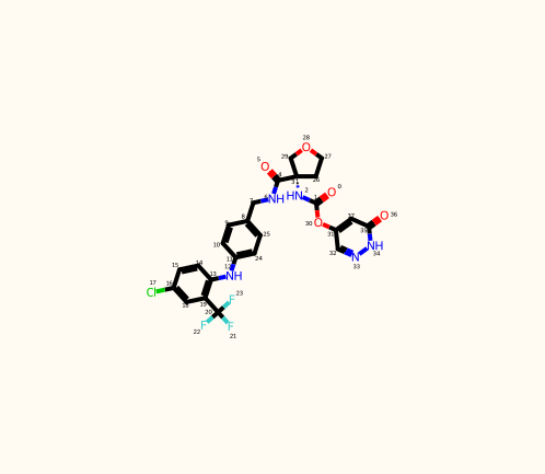 O=C(N[C@@]1(C(=O)NCc2ccc(Nc3ccc(Cl)cc3C(F)(F)F)cc2)CCOC1)Oc1cn[nH]c(=O)c1